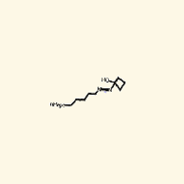 CCCCCCCCCCCC/N=N/C1(O)CCC1